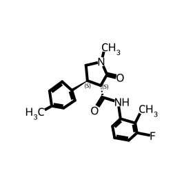 Cc1ccc([C@H]2CN(C)C(=O)[C@@H]2C(=O)Nc2cccc(F)c2C)cc1